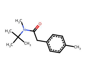 Cc1ccc(CC(=O)N(C)C(C)(C)C)cc1